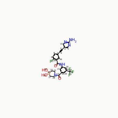 Nc1ncc(C#Cc2ccc(F)c(C(=O)Nc3cc(C(=O)N4CCS(O)(O)CC4)cc(C(F)(F)F)c3)c2)cn1